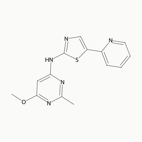 COc1cc(Nc2ncc(-c3ccccn3)s2)nc(C)n1